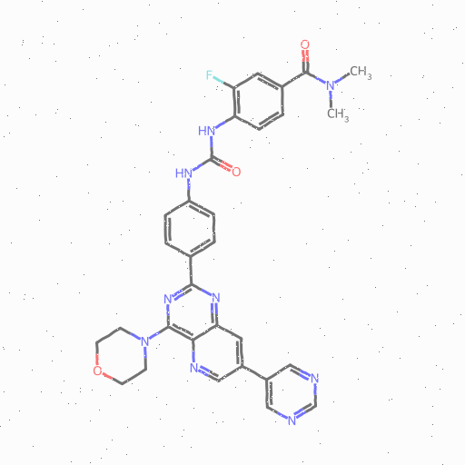 CN(C)C(=O)c1ccc(NC(=O)Nc2ccc(-c3nc(N4CCOCC4)c4ncc(-c5cncnc5)cc4n3)cc2)c(F)c1